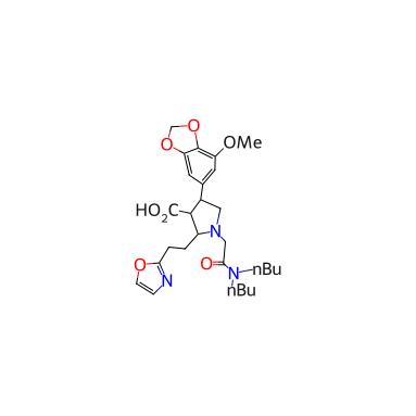 CCCCN(CCCC)C(=O)CN1CC(c2cc(OC)c3c(c2)OCO3)C(C(=O)O)C1CCc1ncco1